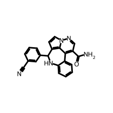 N#Cc1cccc(C2Nc3ccccc3-c3c(C(N)=O)cnn4ccc2c34)c1